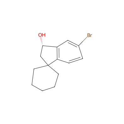 O[C@H]1CC2(CCCCC2)c2ccc(Br)cc21